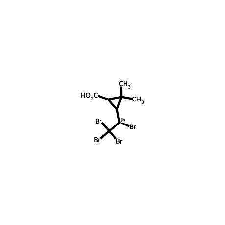 CC1(C)C(C(=O)O)C1[C@@H](Br)C(Br)(Br)Br